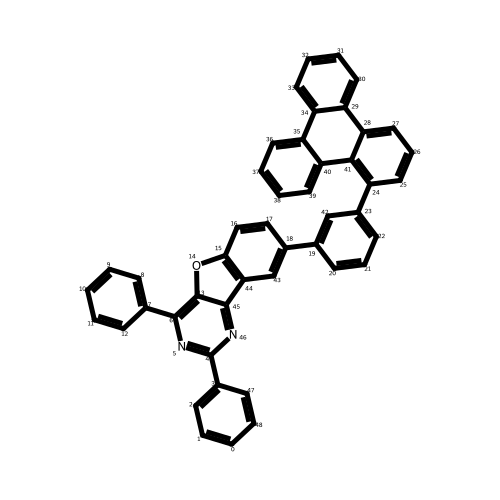 c1ccc(-c2nc(-c3ccccc3)c3oc4ccc(-c5cccc(-c6cccc7c8ccccc8c8ccccc8c67)c5)cc4c3n2)cc1